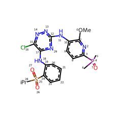 COc1nc(P(C)(C)=O)ccc1Nc1nnc(Cl)c(Nc2ccccc2S(=O)(=O)C(C)C)n1